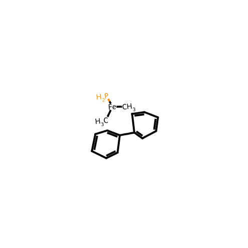 [CH3][Fe]([CH3])[PH2].c1ccc(-c2ccccc2)cc1